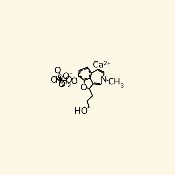 CN1C=Cc2cccc3c2C(=C1)C(CCCO)O3.O.O.O=S(=O)([O-])[O-].[Ca+2]